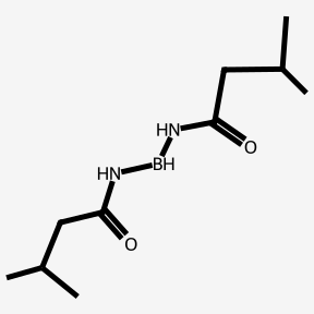 CC(C)CC(=O)NBNC(=O)CC(C)C